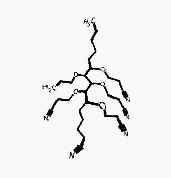 CCCCCC(OCCC#N)C(OCCC)C(OCCC#N)C(OCCC#N)C(CCCCC#N)OCCC#N